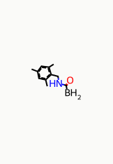 BC(=O)NCc1c(C)cc(C)cc1C